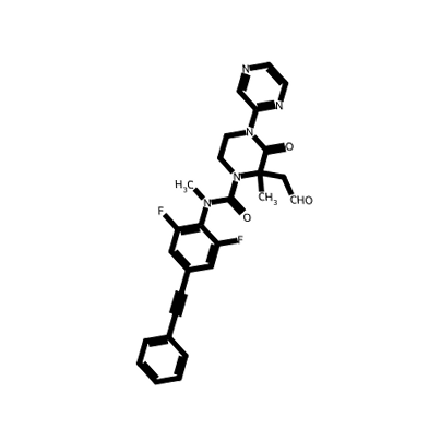 CN(C(=O)N1CCN(c2cnccn2)C(=O)C1(C)CC=O)c1c(F)cc(C#Cc2ccccc2)cc1F